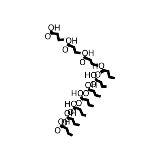 CCCC(=O)O.CCCC(=O)O.CCCC(=O)O.CCCC(=O)O.CCCC(=O)O.CCCC(=O)O.CCCC(=O)O.CCCC(=O)O.CCCC(=O)O.CCCC(=O)O